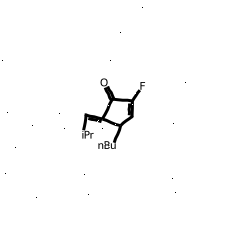 CCCCC1C=C(F)C(=O)/C1=C/C(C)C